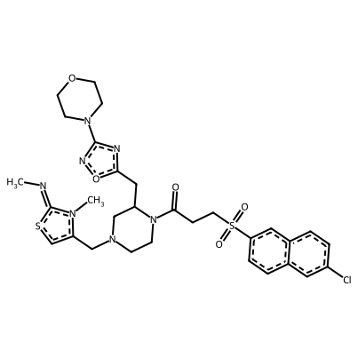 CN=c1scc(CN2CCN(C(=O)CCS(=O)(=O)c3ccc4cc(Cl)ccc4c3)C(Cc3nc(N4CCOCC4)no3)C2)n1C